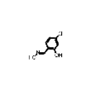 O/N=C/c1ccc(Cl)cc1O